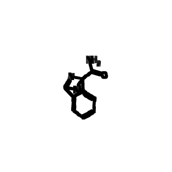 NC(=O)C12N=C(N1)c1ccccc12